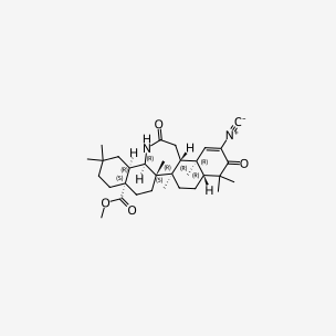 [C-]#[N+]C1=C[C@]2(C)[C@H]3CC(=O)N[C@@H]4[C@@H]5CC(C)(C)CC[C@]5(C(=O)OC)CC[C@@]4(C)[C@]3(C)CC[C@H]2C(C)(C)C1=O